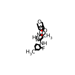 Cc1ccc(Nc2cc(OC3CC4COCC(C3)N4C(=O)OC(C)C)ncn2)c(F)c1